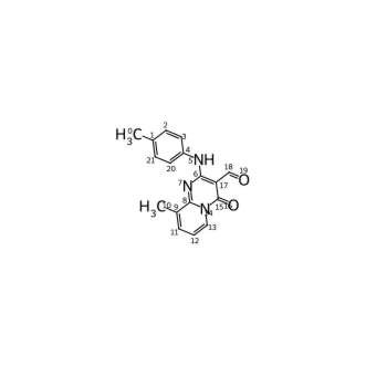 Cc1ccc(Nc2nc3c(C)cccn3c(=O)c2C=O)cc1